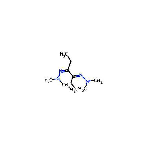 CCC(=NN(C)C)C(CC)=NN(C)C